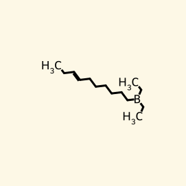 CCC=CCCCCCCB(CC)CC